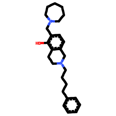 Oc1c(CN2CCCCCC2)ccc2c1CCN(CCCCc1ccccc1)C2